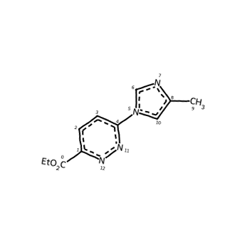 CCOC(=O)c1ccc(-n2cnc(C)c2)nn1